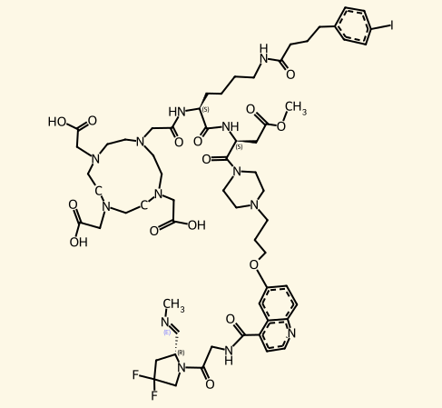 C/N=C/[C@H]1CC(F)(F)CN1C(=O)CNC(=O)c1ccnc2ccc(OCCCN3CCN(C(=O)[C@H](CC(=O)OC)NC(=O)[C@H](CCCCNC(=O)CCCc4ccc(I)cc4)NC(=O)CN4CCN(CC(=O)O)CCN(CC(=O)O)CCN(CC(=O)O)CC4)CC3)cc12